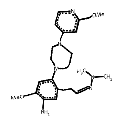 COc1cc(N2CCN(c3cc(OC)c(N)cc3C/C=N\N(C)C)CC2)ccn1